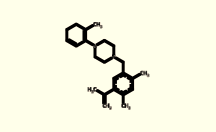 C=C(C)c1cc(CN2CCN(C3=C(C)CCC=C3)CC2)c(C)cc1C